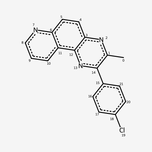 Cc1nc2ccc3ncccc3c2nc1-c1ccc(Cl)cc1